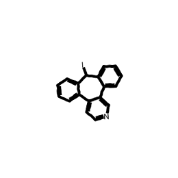 IC1c2ccccc2-c2ccncc2-c2ccccc21